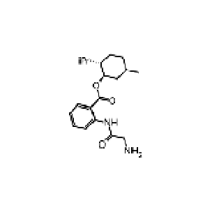 CC(C)[C@@H]1CC[C@@H](C)C[C@H]1OC(=O)c1ccccc1NC(=O)CN